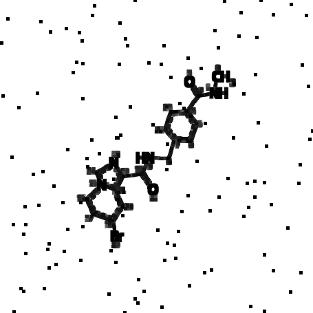 CNC(=O)c1ccc(CNC(=O)c2ncn3ccc(Br)cc23)cc1